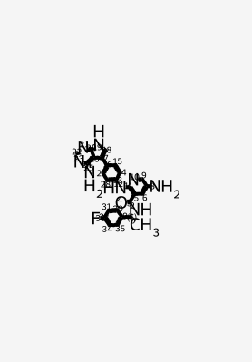 C[C@H](NC(=O)c1cc(N)cnc1Nc1ccc(-c2c[nH]c3ncnc(N)c23)cc1)c1ccc(F)cc1